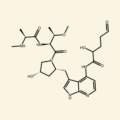 CN[C@@H](C)C(=O)N[C@H](C(=O)N1C[C@@H](O)C[C@H]1Cc1c[nH]c2nccc(NC(=O)C(O)CCC=O)c12)[C@@H](C)OC